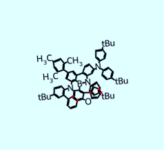 Cc1cc(C)c(-c2cc3c4c(c2)N(c2ccc(C(C)(C)C)cc2-c2ccccc2)c2ccc5oc6ccccc6c5c2B4N(c2ccc(C(C)(C)C)cc2)c2cc(N(c4ccc(C(C)(C)C)cc4)c4ccc(C(C)(C)C)cc4)ccc2-3)c(C)c1